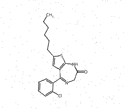 CCCCCCc1cc2c(s1)NC(=O)CN=C2c1ccccc1Cl